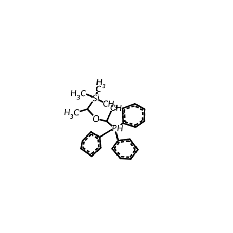 CC(OC(C)[PH](c1ccccc1)(c1ccccc1)c1ccccc1)[Si](C)(C)C